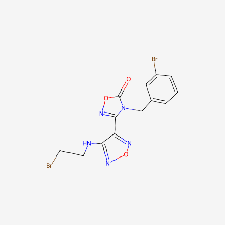 O=c1onc(-c2nonc2NCCBr)n1Cc1cccc(Br)c1